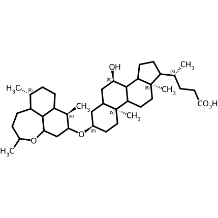 CC1CCC2C3C(CC(O[C@@H]4CC[C@@]5(C)C(C4)C[C@@H](O)C4C5CC[C@@]5(C)C4CCC5[C@H](C)CCC(=O)O)[C@H](C)C3CC[C@H]2C)O1